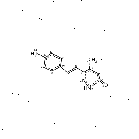 Cc1cc(=O)[nH]nc1C=Cc1ccc(N)cc1